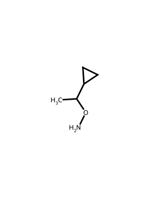 CC(ON)C1CC1